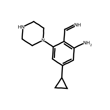 N=Cc1c(N)cc(C2CC2)cc1N1CCNCC1